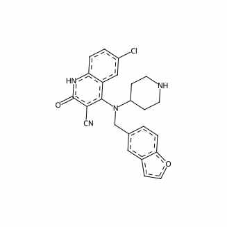 N#Cc1c(N(Cc2ccc3occc3c2)C2CCNCC2)c2cc(Cl)ccc2[nH]c1=O